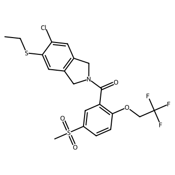 CCSc1cc2c(cc1Cl)CN(C(=O)c1cc(S(C)(=O)=O)ccc1OCC(F)(F)F)C2